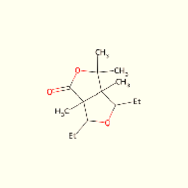 CCC1OC(CC)C2(C)C(C)(C)OC(=O)C12C